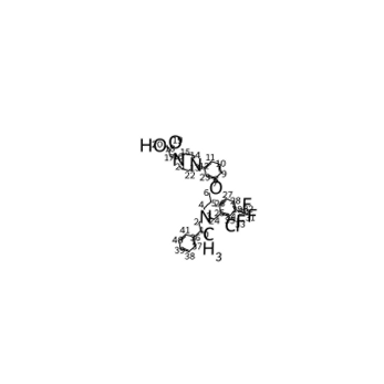 CC(CN(CCCOc1cccc(N2CCN(CC(=O)O)CC2)c1)Cc1cccc(C(F)(F)F)c1Cl)c1ccccc1